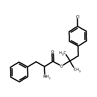 CC(C)(Cc1ccc(Cl)cc1)OC(=O)C(N)Cc1ccccc1